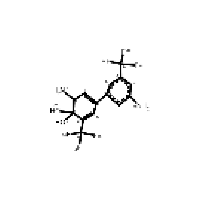 Nc1cc(C2=CC(N)C(O)(O)C(C(F)(F)F)=C2)cc(C(F)(F)F)c1